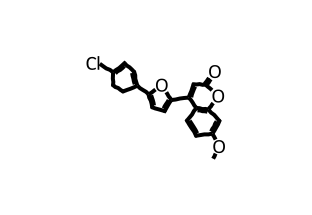 COc1ccc2c(-c3ccc(C4=CC=C(Cl)CC4)o3)cc(=O)oc2c1